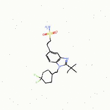 CC(C)(C)c1nc2cc(CCS(N)(=O)=O)ccc2n1CC1CCC(F)(F)CC1